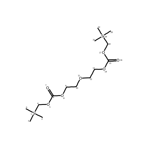 C[Si](C)(C)COC(=O)OCCOCCOC(=O)OC[Si](C)(C)C